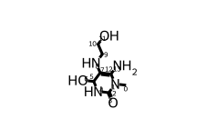 CN1C(=O)NC(O)C(NCCO)=C1N